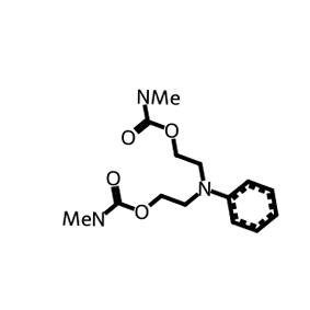 CNC(=O)OCCN(CCOC(=O)NC)c1ccccc1